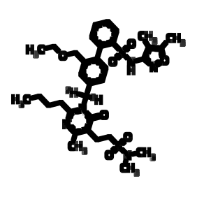 [2H]C([2H])(c1ccc(-c2ccccc2S(=O)(=O)Nc2noc(C)c2C)c(COCC)c1)n1c(CCCC)nc(C)c(CCS(=O)(=O)N(C)C)c1=O